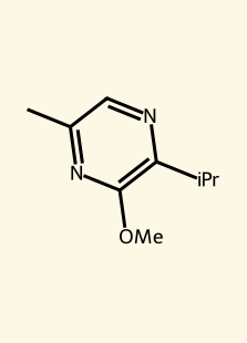 COc1nc(C)cnc1C(C)C